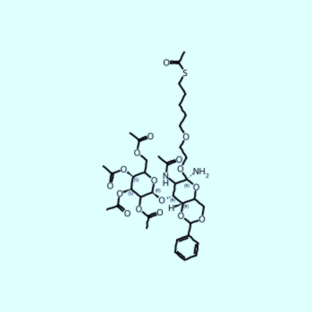 CC(=O)NC1[C@@H](O[C@@H]2OC(COC(C)=O)[C@H](OC(C)=O)[C@H](OC(C)=O)C2OC(C)=O)[C@H]2OC(c3ccccc3)OCC2O[C@]1(N)OCCOCCCCCSC(C)=O